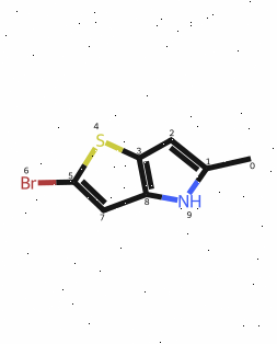 Cc1cc2sc(Br)cc2[nH]1